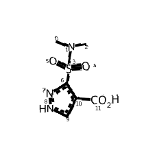 CN(C)S(=O)(=O)c1n[nH]cc1C(=O)O